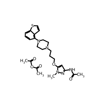 CC(=O)Nc1cc(OCCCN2CCN(c3cccc4sccc34)CC2)n(C)n1.CC(=O)OC(C)=O